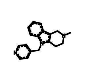 CN1CCc2c(c3ccccc3n2Cc2ccncc2)C1